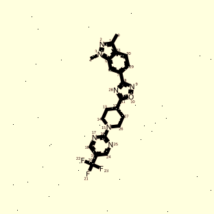 Cc1nn(C)c2cc(-c3noc(C4CCN(c5ncc(C(F)(F)F)cn5)CC4)n3)ccc12